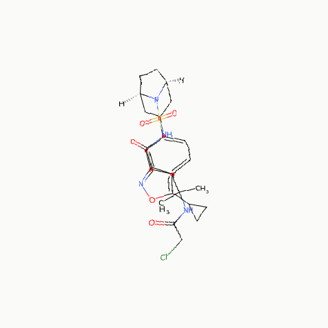 CC(C)(NC(=O)CCl)c1ccc(S(=O)(=O)N2[C@@H]3CC[C@H]2CC(NC(=O)c2cc(C4CC4)on2)C3)cc1